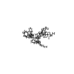 CCCCC(CC)CC(C(=O)O)C(CC(CC)CCCC)(C(=O)O)S(=O)(=O)O.CCCCCCC1=NN(c2ccccc2)N(c2ccccc2)N1.CCCCCCC1=NN(c2ccccc2)N(c2ccccc2)N1